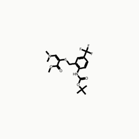 COC(=O)C(=CN(C)C)SCc1cc(C(F)(F)F)ccc1NC(=O)OC(C)(C)C